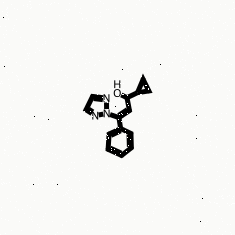 OC(C=C(c1ccccc1)n1nccn1)C1CC1